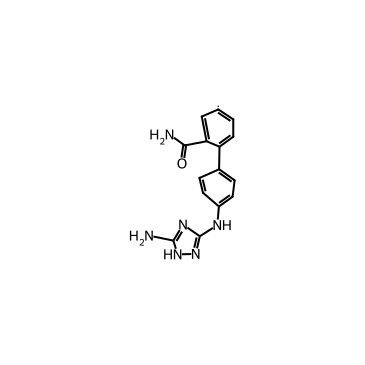 NC(=O)c1c[c]ccc1-c1ccc(Nc2n[nH]c(N)n2)cc1